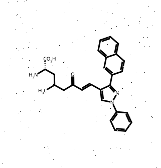 CC(CC(=O)C=Cc1cn(-c2ccccc2)nc1-c1ccc2ccccc2c1)C[C@H](N)C(=O)O